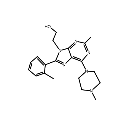 Cc1nc(N2CCN(C)CC2)c2nc(-c3ccccc3C)n(CCO)c2n1